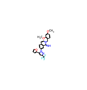 COc1ccc(Cn2ccc3ccc(-n4nc(C(F)(F)F)cc4-c4ccco4)cc3c2=N)c(OC)c1